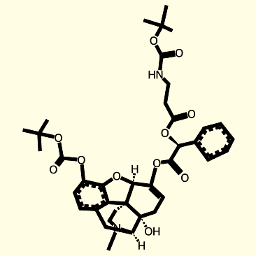 CN1CC[C@]23c4c5ccc(OC(=O)OC(C)(C)C)c4O[C@H]2C(OC(=O)[C@@H](OC(=O)CCNC(=O)OC(C)(C)C)c2ccccc2)=CC[C@@]3(O)[C@H]1C5